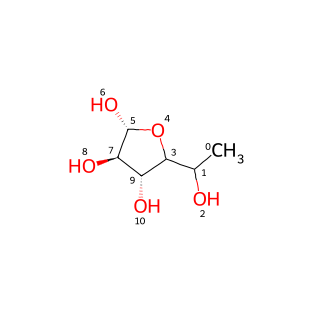 CC(O)C1O[C@@H](O)[C@H](O)[C@H]1O